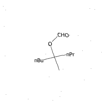 CCCCC(C)(CCC)O[C]=O